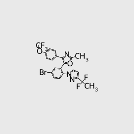 Cc1nc(-c2ccc(OC(F)(F)F)cc2)c(-c2cc(Br)ccc2-n2ccc(C(C)(F)F)n2)o1